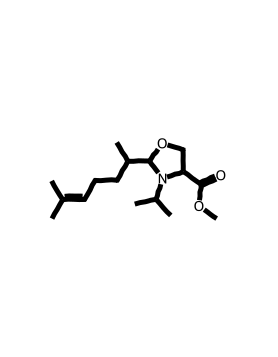 COC(=O)C1COC(C(C)CCC=C(C)C)N1C(C)C